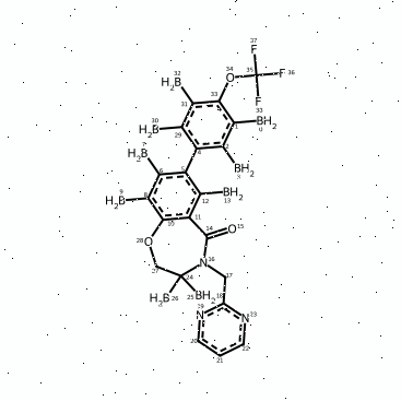 Bc1c(B)c(-c2c(B)c(B)c3c(c2B)C(=O)N(Cc2ncccn2)C(B)(B)CO3)c(B)c(B)c1OC(F)(F)F